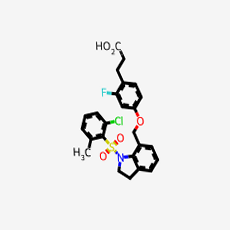 Cc1cccc(Cl)c1S(=O)(=O)N1CCc2cccc(COc3ccc(CCC(=O)O)c(F)c3)c21